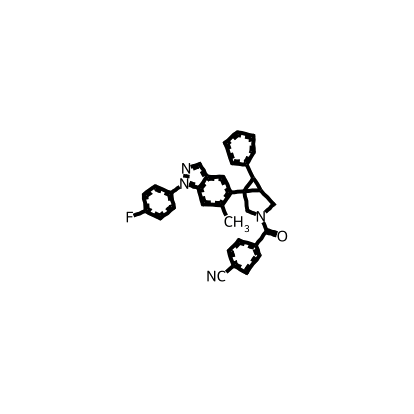 Cc1cc2c(cnn2-c2ccc(F)cc2)cc1C12CN(C(=O)c3ccc(C#N)cc3)CC1C2c1ccccc1